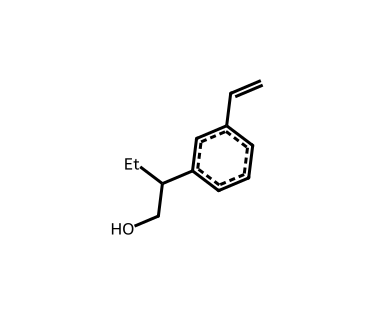 C=Cc1cccc(C(CC)CO)c1